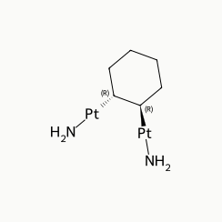 [NH2][Pt][C@@H]1CCCC[C@H]1[Pt][NH2]